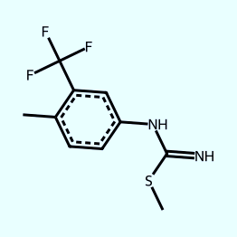 CSC(=N)Nc1ccc(C)c(C(F)(F)F)c1